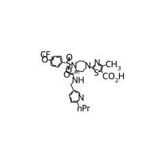 CCCc1ccc(CNC(=O)[C@H]2CN(c3nc(C)c(C(=O)O)s3)CCN2S(=O)(=O)c2ccc(OC(F)(F)F)cc2)cn1